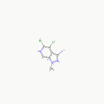 Cn1nc(I)c2c(Cl)c(Br)ncc21